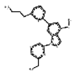 CCOc1cc(-c2cccc(CCCN)n2)cc2c1cnn2-c1cncc(CO)n1